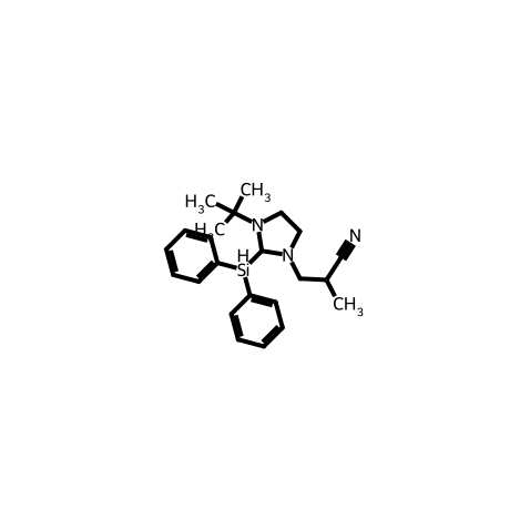 CC(C#N)CN1CCN(C(C)(C)C)C1[SiH](c1ccccc1)c1ccccc1